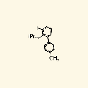 Cc1ccc(-c2cccc(I)c2CC(C)C)cc1